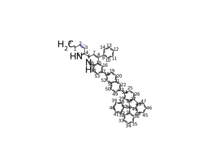 C=C/C=C\C(=N)C1C=C(c2ccccc2)c2cc(-c3ccc4cc(-c5ccc6c(c5)C(c5ccccc5)(c5ccccc5)c5ccccc5-6)ccc4c3)ccc2N1